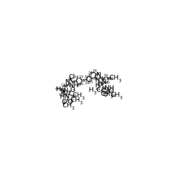 COC(=O)NC(C(=O)N1[C@@H]2C[C@@H]2C[C@H]1c1nc(Cl)c(-c2ccc(-c3ccc4c(ccc5nc([C@@H]6C[C@H](C)CN6C(=O)[C@@H](NC(=O)OC)C(C)C)[nH]c54)c3)cc2)[nH]1)C(C)C